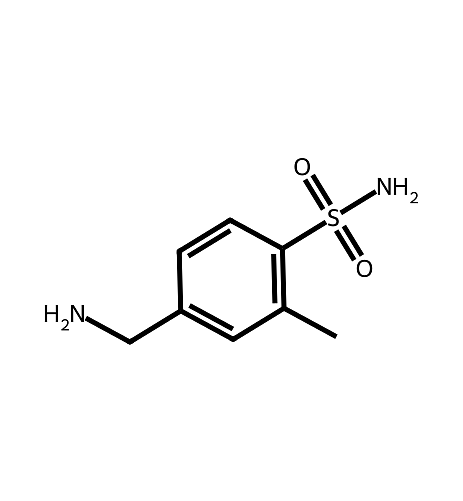 Cc1cc(CN)ccc1S(N)(=O)=O